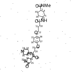 CNC(=O)[C@H]1CC[C@@H](NC(=O)CCCO[C@H]2CC[C@H](OCCNC(=O)[C@H]3CC(=O)N(C)[C@@H]3c3cccnc3)CC2)CC1